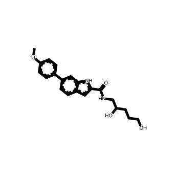 COc1ccc(-c2ccc3cc(C(=O)NCC(O)CCCO)[nH]c3c2)cc1